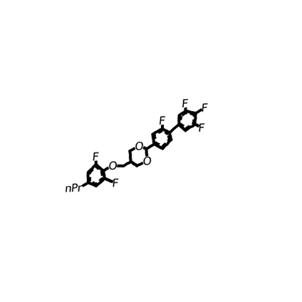 CCCc1cc(F)c(OCC2COC(c3ccc(-c4cc(F)c(F)c(F)c4)c(F)c3)OC2)c(F)c1